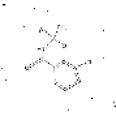 CC1(C)NC(=O)c2cccc(Cl)c2O1